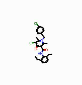 CCc1cccc(CC)c1NC(=O)c1c(C)n(Cc2ccc(Cl)cc2)c(C)c(Cl)c1=O